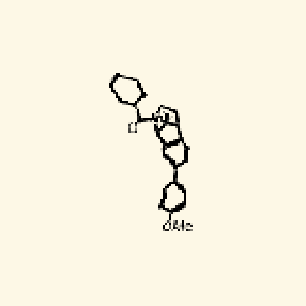 COc1ccc(-c2ccc3c(c2)C2[C@@H](C)C3CCN2C(=O)C2CCCCC2)cc1